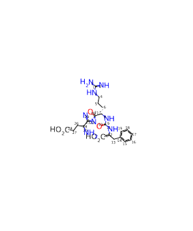 N=C(N)NCCC[C@H](NC(=O)N[C@@H](Cc1ccccc1)C(=O)O)c1nc([C@@H](N)CCC(=O)O)no1